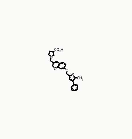 Cc1sc(COc2ccc3c(c2)OCC(CN2CCC(C(=O)O)C2)=C3)cc1-c1ccccc1